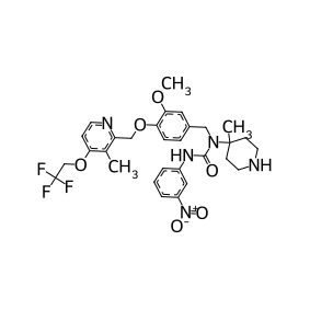 COc1cc(CN(C(=O)Nc2cccc([N+](=O)[O-])c2)C2(C)CCNCC2)ccc1OCc1nccc(OCC(F)(F)F)c1C